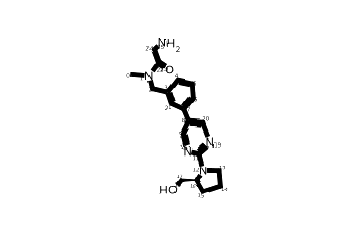 CN(Cc1cccc(-c2cnc(N3CCC[C@H]3CO)nc2)c1)C(=O)CN